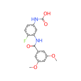 COc1cc(OC)cc(C(=O)Nc2cc(NC(=O)O)ccc2F)c1